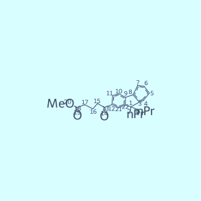 CCCC1(CCC)c2ccccc2-c2ccc(C(=O)CCCC(=O)OC)cc21